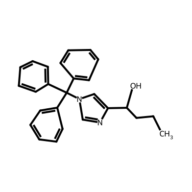 CCCC(O)c1cn(C(c2ccccc2)(c2ccccc2)c2ccccc2)cn1